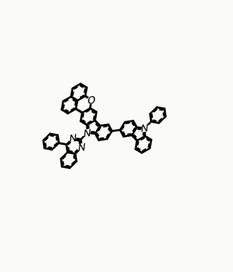 c1ccc(-c2nc(-n3c4ccc(-c5ccc6c(c5)c5ccccc5n6-c5ccccc5)cc4c4cc5c(cc43)-c3cccc4cccc(c34)O5)nc3ccccc23)cc1